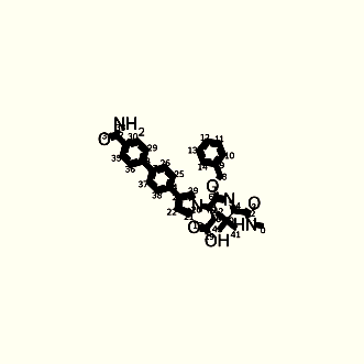 CNC(=O)[C@@H](N=C(OCc1ccccc1)[C@@H](CC(=O)O)n1ccc(-c2ccc(-c3ccc(C(N)=O)cc3)cc2)c1)C(C)(C)C